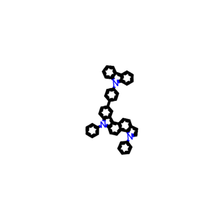 c1ccc(-n2ccc3ccc4c(ccc5c4c4cc(-c6ccc(-n7c8ccccc8c8ccccc87)cc6)ccc4n5-c4ccccc4)c32)cc1